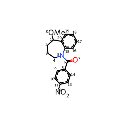 COC1CCCN(C(=O)c2ccc([N+](=O)[O-])cc2)c2ccccc21